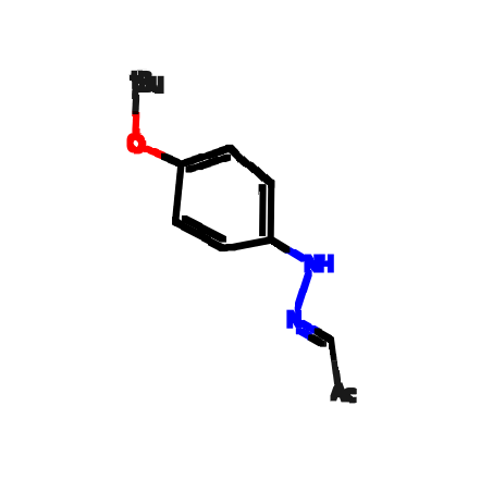 CC(=O)C=NNc1ccc(OC(C)(C)C)cc1